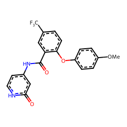 COc1ccc(Oc2ccc(C(F)(F)F)cc2C(=O)Nc2cc[nH]c(=O)c2)cc1